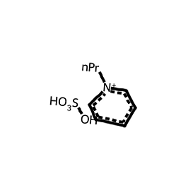 CCC[n+]1ccccc1.O=S(=O)(O)O